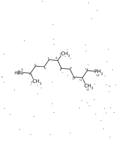 CCCCC(C)CCCC(C)CCCC(C)CP